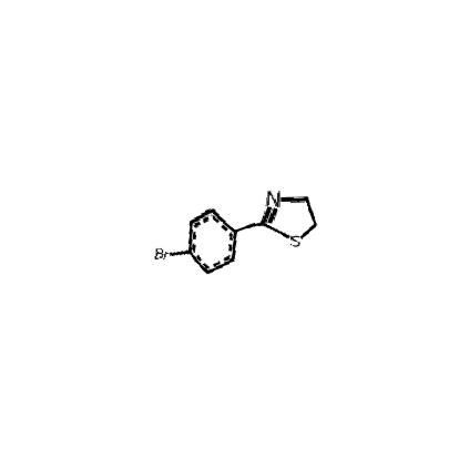 Brc1ccc(C2=NCCS2)cc1